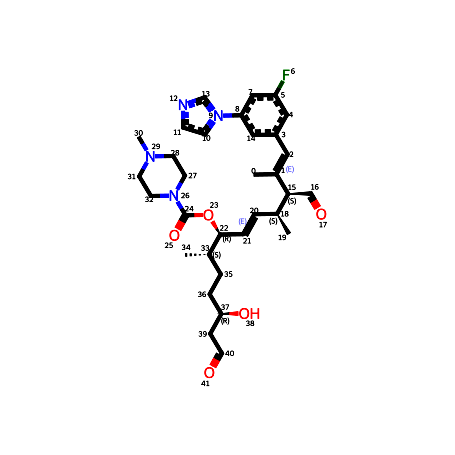 C/C(=C\c1cc(F)cc(-n2ccnc2)c1)[C@@H](C=O)[C@@H](C)/C=C/[C@H](OC(=O)N1CCN(C)CC1)[C@@H](C)CC[C@@H](O)CC=O